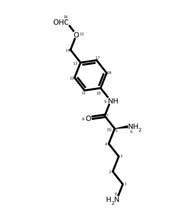 NCCCC[C@H](N)C(=O)Nc1ccc(COC=O)cc1